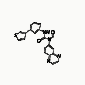 O=CN(C(=O)Nc1cccc(-c2ccsc2)c1)c1ccc2nccnc2c1